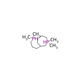 C[PH]1(C)CCC2CC(CCC[PH]2(C)C)C1